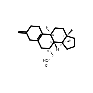 C=C1CCC2=C(C1)C[C@@H](C)[C@@H]1[C@@H]2CC[C@]2(C)CCC[C@@H]12.[K+].[OH-]